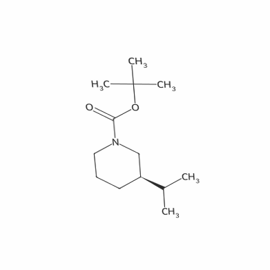 CC(C)[C@H]1CCCN(C(=O)OC(C)(C)C)C1